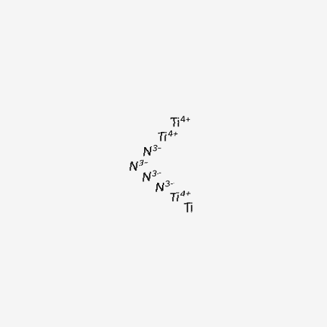 [N-3].[N-3].[N-3].[N-3].[Ti+4].[Ti+4].[Ti+4].[Ti]